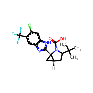 CC(C)(C)C1C[C@@H]2C[C@]2(c2nc3cc(C(F)(F)F)c(Cl)cc3[nH]2)N1C(=O)O